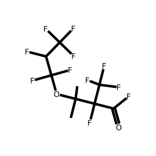 CC(C)(OC(F)(F)C(F)C(F)(F)F)C(F)(C(=O)F)C(F)(F)F